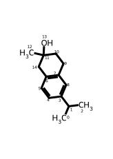 CC(C)c1ccc2c(c1)[CH]CC(C)(O)C2